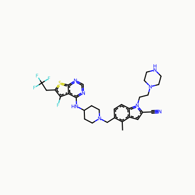 Cc1c(CN2CCC(Nc3ncnc4sc(CC(F)(F)F)c(F)c34)CC2)ccc2c1cc(C#N)n2CCN1CCNCC1